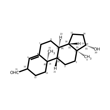 C[C@]12CC[C@H]3[C@@H](CCC4=CC(C=O)CC[C@@]43C)[C@@H]1CC[C@@H]2O